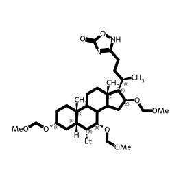 CC[C@H]1[C@@H](OCOC)C2C3C[C@H](OCOC)[C@H]([C@H](C)CCc4nc(=O)o[nH]4)[C@@]3(C)CCC2[C@@]2(C)CC[C@@H](OCOC)C[C@@H]12